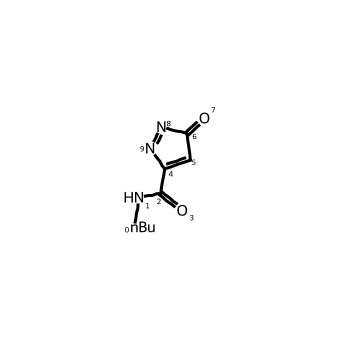 CCCCNC(=O)C1=CC(=O)N=N1